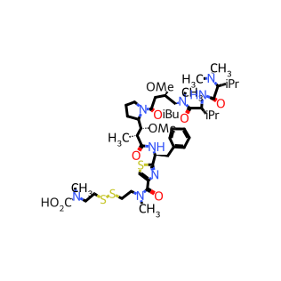 CC[C@H](C)[C@@H]([C@@H](CC(=O)N1CCCC1[C@H](OC)[C@@H](C)C(=O)N[C@@H](Cc1ccccc1)c1nc(C(=O)N(C)CCSSCCN(C)C(=O)O)cs1)OC)N(C)C(=O)C(NC(=O)C(C(C)C)N(C)C)C(C)C